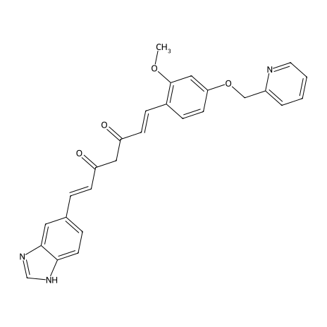 COc1cc(OCc2ccccn2)ccc1C=CC(=O)CC(=O)C=Cc1ccc2[nH]cnc2c1